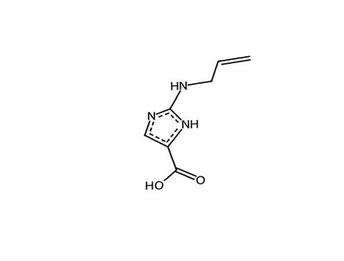 C=CCNc1ncc(C(=O)O)[nH]1